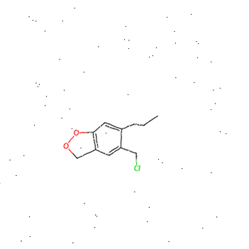 CCCc1cc2c(cc1CCl)COO2